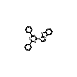 c1ccc(-c2nc(-c3ccccc3)nc(-n3ccn4c5ccccc5nc34)n2)cc1